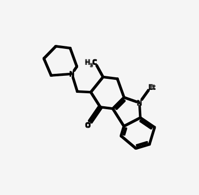 CCn1c2c(c3ccccc31)C(=O)C(CN1CCCCC1)C(C)C2